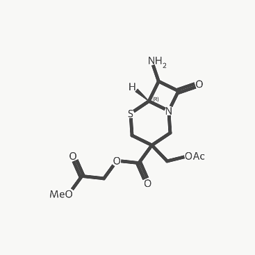 COC(=O)COC(=O)C1(COC(C)=O)CS[C@@H]2C(N)C(=O)N2C1